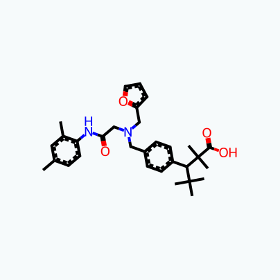 Cc1ccc(NC(=O)CN(Cc2ccc(C(C(C)(C)C)C(C)(C)C(=O)O)cc2)Cc2ccco2)c(C)c1